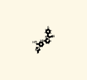 Cc1cn(-c2ccc(Nc3cccn4c(C#N)c(-c5ccc(F)cc5)nc34)cc2CO)cn1